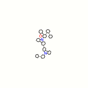 c1ccc(-c2cccc(-n3c4ccccc4c4cc(-c5ccc6c(c5)c5ccccc5n6-c5ccc(-c6ccccc6-c6ccccc6)c6c5oc5ccccc56)ccc43)c2)cc1